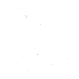 CCN(C(=O)CC1CCN(C)CC1)c1ccc(Cl)c(Br)c1.O=C(O)/C=C/C(=O)O